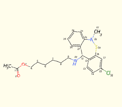 CC(=O)OCCCCCCNC1c2ccc(Cl)cc2SN(C)c2ccccc21